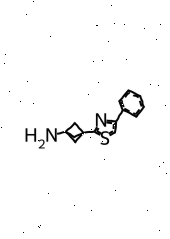 NC12CC(c3nc(-c4ccccc4)cs3)(C1)C2